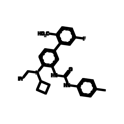 Cc1ccc(NC(=O)Nc2cc(-c3cc(F)ccc3C(=O)O)ccc2N(CC(C)C)C2CCC2)cc1